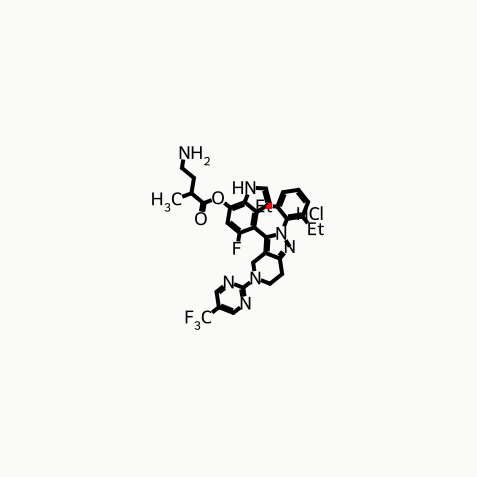 CCc1cccc(CC)c1-n1nc2c(c1-c1c(F)cc(OC(=O)C(C)CCN)c3[nH]ccc13)CN(c1ncc(C(F)(F)F)cn1)CC2.Cl